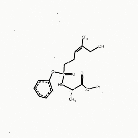 CC(C)OC(=O)[C@H](C)NP(=O)(CCC=C(CO)C(F)(F)F)Oc1ccccc1